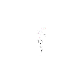 C=CC1(C(NC(=O)c2ccc(C#CC#CCCO)cc2)C(=O)NO)CS(O)(O)C1